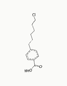 COC(=O)c1ccc(CCCCCCCl)cc1